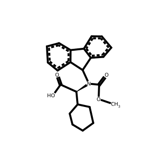 COC(=O)N(C1c2ccccc2-c2ccccc21)[C@H](C(=O)O)C1CCCCC1